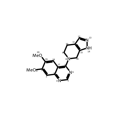 COc1cc2ncnc(N3CCc4cn[nH]c4C3)c2cc1OC